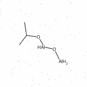 CC(C)[O][AlH][O][AlH2]